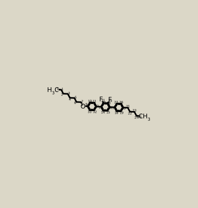 CCCCCCCCOc1ccc(-c2ccc(-c3ccc(CCCCC)cc3)c(F)c2F)cc1